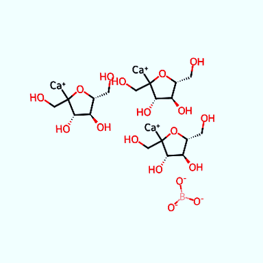 OC[C@H]1O[C]([Ca+])(CO)[C@@H](O)[C@@H]1O.OC[C@H]1O[C]([Ca+])(CO)[C@@H](O)[C@@H]1O.OC[C@H]1O[C]([Ca+])(CO)[C@@H](O)[C@@H]1O.[O-]B([O-])[O-]